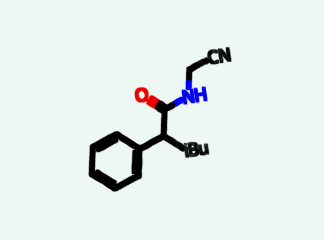 CCC(C)C(C(=O)NCC#N)c1ccccc1